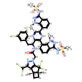 Cn1nc(NS(C)(=O)=O)c2cccc(-c3cnc(C(Cc4cc(F)cc(F)c4)NC(=O)Cn4nc(C(F)F)c5c4C(F)(F)[C@@H]4CC[C@H]54)c(-c4cccc5c(NS(C)(=O)=O)nn(C)c45)n3)c21